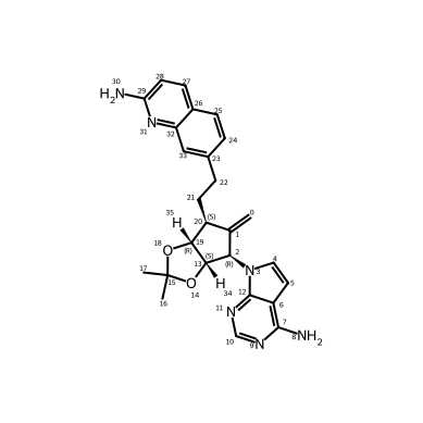 C=C1[C@@H](n2ccc3c(N)ncnc32)[C@@H]2OC(C)(C)O[C@@H]2[C@H]1CCc1ccc2ccc(N)nc2c1